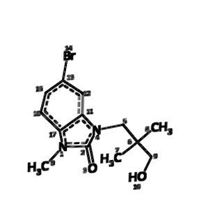 Cn1c(=O)n(CC(C)(C)CO)c2cc(Br)ccc21